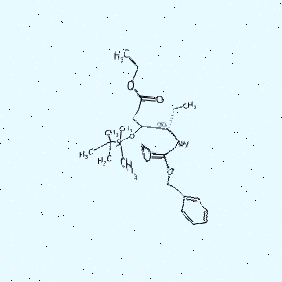 CCOC(=O)CC(O[Si](C)(C)C(C)(C)C)[C@H](CC)NC(=O)OCc1ccccc1